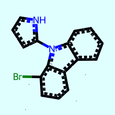 Brc1cccc2c3ccccc3n(-c3ccc[nH]3)c12